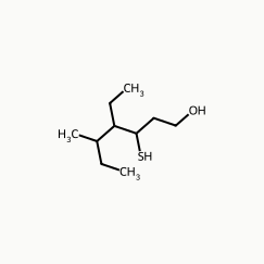 CCC(C)C(CC)C(S)CCO